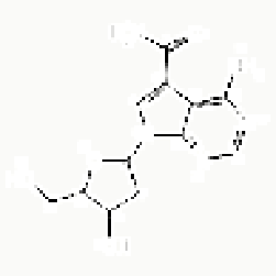 NC(=O)c1cn(C2CC(O)C(CO)O2)c2ncnc(N)c12